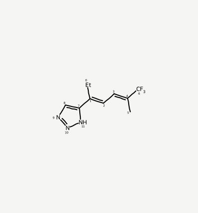 CC/C(=C\C=C(/C)C(F)(F)F)c1cnn[nH]1